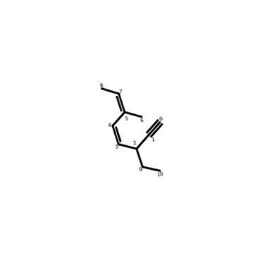 C#CC(/C=C\C(C)=C/C)CC